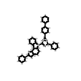 c1ccc(-c2ccc(C3N4C(n5c6ccccc6c6c7sc(-c8ccccc8)cc7ccc65)=NC(c5ccccc5)N34)cc2)cc1